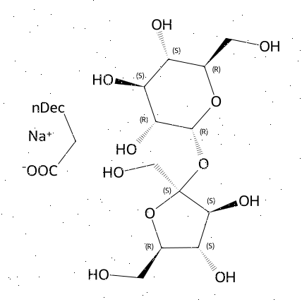 CCCCCCCCCCCC(=O)[O-].OC[C@H]1O[C@@](CO)(O[C@H]2O[C@H](CO)[C@@H](O)[C@H](O)[C@H]2O)[C@@H](O)[C@@H]1O.[Na+]